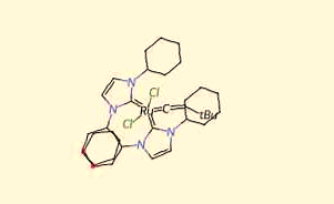 CC(C)(C)C=[C]=[Ru]([Cl])([Cl])(=[c]1n(C2CCCCC2)ccn1C1CCCCC1)=[c]1n(C2CCCCC2)ccn1C1CCCCC1